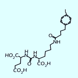 O=C(O)CC[C@H](NC(=O)N[C@@H](CCCCNC(=O)CCCc1ccc(I)cc1)C(=O)O)C(=O)O